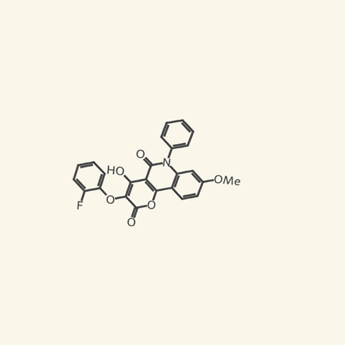 COc1ccc2c3oc(=O)c(Oc4ccccc4F)c(O)c3c(=O)n(-c3ccccc3)c2c1